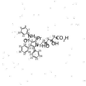 CC(C)c1c(C(=O)Nc2ccccc2)c(-c2ccccc2)c(-c2ccccc2)n1CC[C@@H](O)C[C@@H](O)CC(=O)O